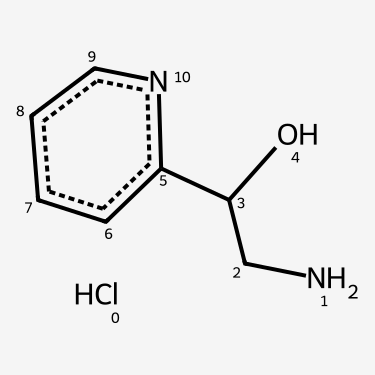 Cl.NCC(O)c1ccccn1